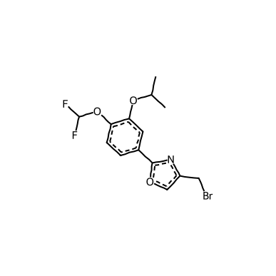 CC(C)Oc1cc(-c2nc(CBr)co2)ccc1OC(F)F